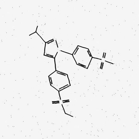 CCS(=O)(=O)c1ccc(-c2cc(C(F)F)nn2-c2ccc(S(N)(=O)=O)cc2)cc1